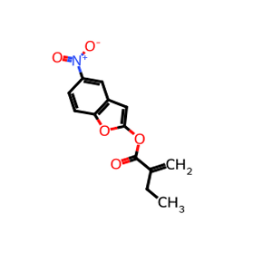 C=C(CC)C(=O)Oc1cc2cc([N+](=O)[O-])ccc2o1